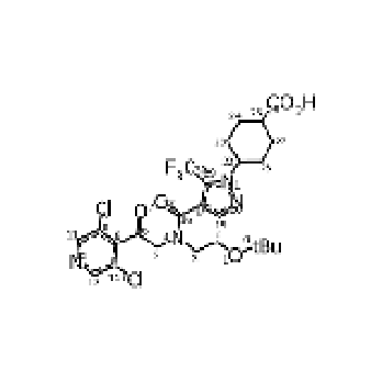 CC(C)(C)OCCN(CC(=O)c1c(Cl)cncc1Cl)C(=O)c1cnn(C2CCC(C(=O)O)CC2)c1C(F)(F)F